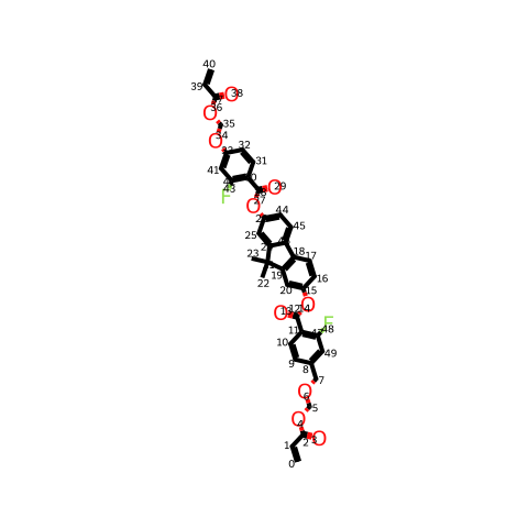 C=CC(=O)OCOCc1ccc(C(=O)Oc2ccc3c(c2)C(C)(C)c2cc(OC(=O)c4ccc(OCOC(=O)C=C)cc4F)ccc2-3)c(F)c1